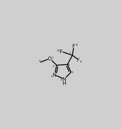 COc1n[nH]cc1C(F)(F)F